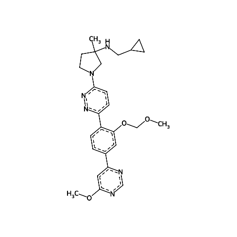 COCOc1cc(-c2cc(OC)ncn2)ccc1-c1ccc(N2CCC(C)(NCC3CC3)C2)nn1